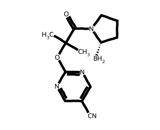 B[C@H]1CCCN1C(=O)C(C)(C)Oc1ncc(C#N)cn1